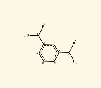 FC(F)c1[c]c(C(F)F)ccc1